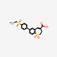 CCS(=O)(=O)c1ccc(-c2ccc3c(c2)C=C(C(=O)O)CCS3(=O)=O)cc1